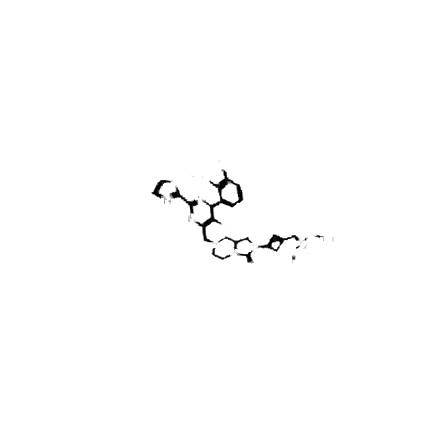 CCOP(=O)(CC12CC(N3CC4CN(CC5=C(C(=O)O)C(c6cccc(F)c6C)N=C(c6nccs6)N5)CCN4C3=O)(C1)C2)OCC